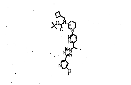 COc1cncc(-c2nnn(C(C)c3ccc(N4CCC[C@@H](N(CC5CCC5)C(=O)OC(C)(C)C)C4)nn3)n2)c1